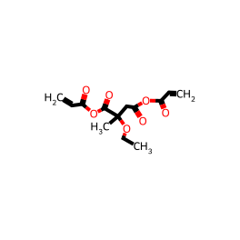 C=CC(=O)OC(=O)CC(C)(OCC)C(=O)OC(=O)C=C